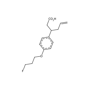 C=CCC(CC(=O)O)c1ccc(OCCCF)cc1